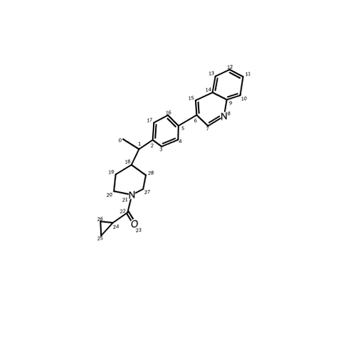 CC(c1ccc(-c2cnc3ccccc3c2)cc1)C1CCN(C(=O)C2CC2)CC1